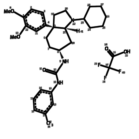 COc1ccc([C@@]23CC[C@@H](NC(=O)Nc4cccc(C(F)(F)F)c4)C[C@@H]2N(C2CCCCC2)CC3)cc1OC.O=C(O)C(F)(F)F